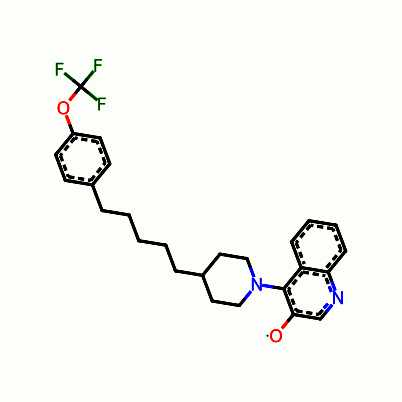 [O]c1cnc2ccccc2c1N1CCC(CCCCCc2ccc(OC(F)(F)F)cc2)CC1